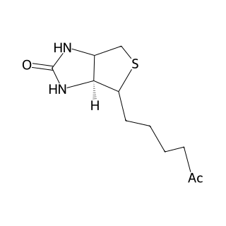 CC(=O)CCCCC1SCC2NC(=O)N[C@@H]21